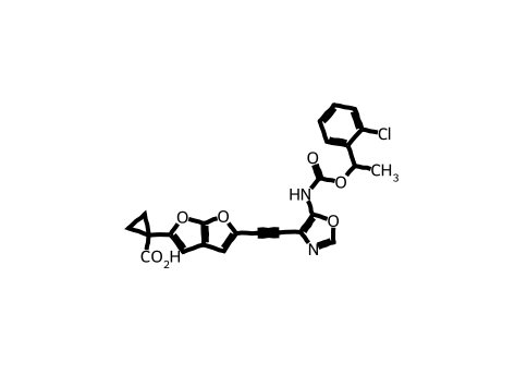 CC(OC(=O)Nc1ocnc1C#Cc1cc2cc(C3(C(=O)O)CC3)oc2o1)c1ccccc1Cl